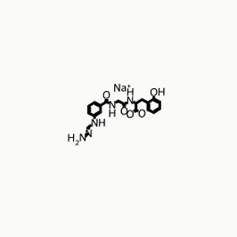 NN=CNc1cccc(C(=O)NCC(=O)NC(Cc2ccccc2O)C(=O)[O-])c1.[Na+]